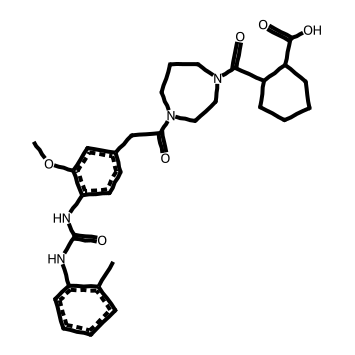 COc1cc(CC(=O)N2CCCN(C(=O)C3CCCCC3C(=O)O)CC2)ccc1NC(=O)Nc1ccccc1C